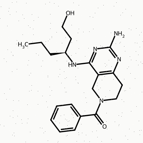 CCC[C@@H](CCO)Nc1nc(N)nc2c1CN(C(=O)c1ccccc1)CC2